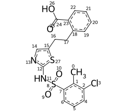 Cc1c(Cl)cccc1S(=O)(=O)Nc1ncc(CCc2ccccc2C(=O)O)s1